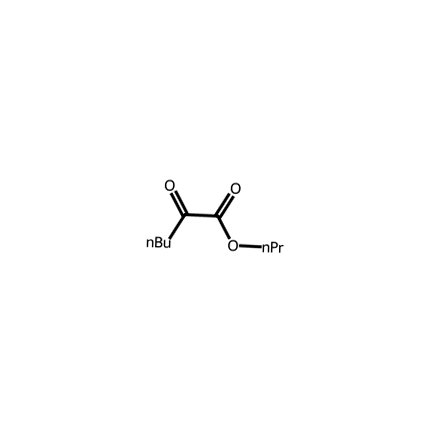 CCCCC(=O)C(=O)OCCC